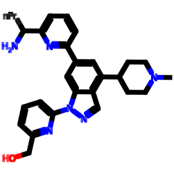 CCCC(N)c1cccc(-c2cc(C3CCN(C)CC3)c3cnn(-c4cccc(CO)n4)c3c2)n1